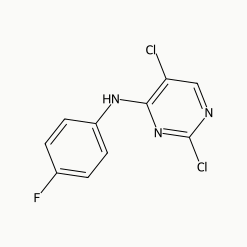 Fc1ccc(Nc2nc(Cl)ncc2Cl)cc1